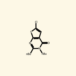 CCCCc1nc2sc(Cl)cc2c(=O)n1CCCC